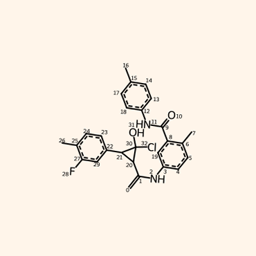 C=C(Nc1ccc(C)c(C(=O)Nc2ccc(C)cc2)c1)C1C(c2ccc(C)c(F)c2)C1(O)Cl